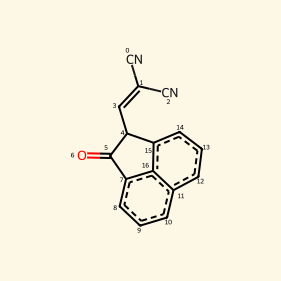 N#CC(C#N)=CC1C(=O)c2cccc3cccc1c23